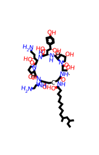 CCC(C)CC(C)CCCCCCCCC(=O)N[C@H]1CC[C@@H](O)[C@@H](NCCN)NC(=O)[C@@H]2[C@@H](O)CCN2C(=O)[C@H]([C@H](O)CCN)NC(=O)[C@H]([C@H](O)[C@@H](O)c2ccc(O)cc2)NC(=O)[C@@H]2C[C@@H](O)CN2C(=O)[C@H]([C@@H](C)O)NC1=O